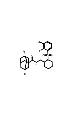 O=C(NCC1CCCCN1S(=O)(=O)c1cccc(Cl)c1F)C12CC3C[C@H](C1)C[C@@H](C3)C2